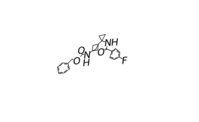 O=C(NC12CC(C3(NC(=O)c4ccc(F)cc4)CC3)(C1)C2)OCc1ccccc1